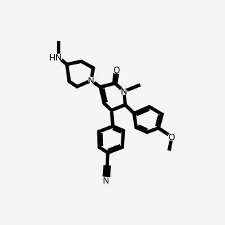 CNC1CCN(C2=CC(c3ccc(C#N)cc3)C(c3ccc(OC)cc3)N(C)C2=O)CC1